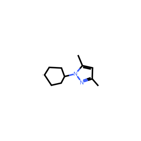 Cc1cc(C)n(C2CC[CH]CC2)n1